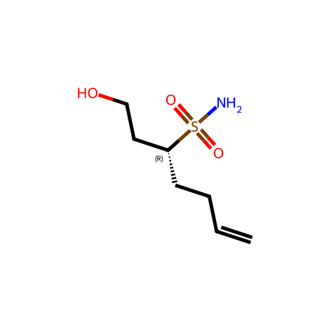 C=CCC[C@H](CCO)S(N)(=O)=O